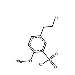 CCCCOc1ccc(CCC(C)C)cc1S(=O)(=O)Cl